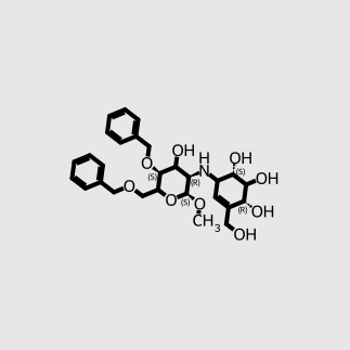 CO[C@H]1OC(COCc2ccccc2)[C@@H](OCc2ccccc2)C(O)[C@H]1NC1C=C(CO)[C@@H](O)C(O)[C@H]1O